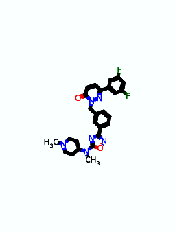 CN1CCC(N(C)c2nc(-c3cccc(Cn4nc(-c5cc(F)cc(F)c5)ccc4=O)c3)no2)CC1